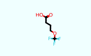 O=C(O)CCCOC(F)(F)F